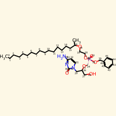 CCCCCCCCCCCCCCCCC(C)OCCO[P@](=O)(COC(CO)Cn1ccc(N)nc1=O)OCc1ccccc1